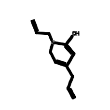 C=CCC1=CCN(CC=C)C(O)=C1